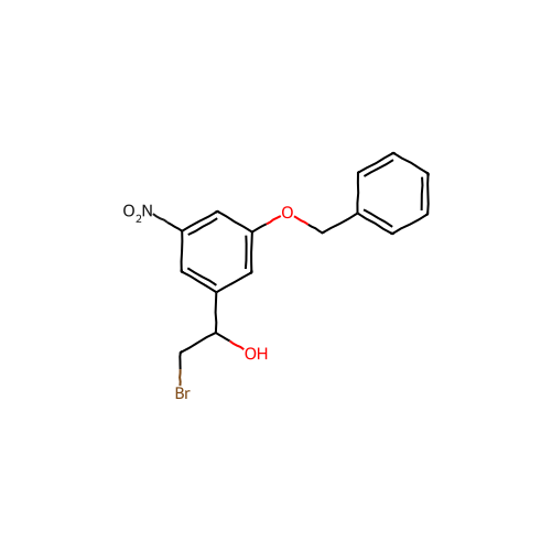 O=[N+]([O-])c1cc(OCc2ccccc2)cc(C(O)CBr)c1